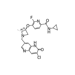 C[C@@H]1[C@@H](Oc2ccc(C(=O)NC3CC3)nc2F)CN1Cc1cnc2cc(Cl)c(=O)[nH]c2c1